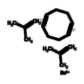 C1=C\CC/C=C\CC/1.C=C([CH2-])C.C=C([CH2-])C.[Ru+2]